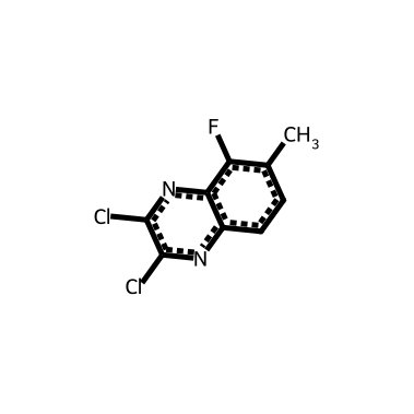 Cc1ccc2nc(Cl)c(Cl)nc2c1F